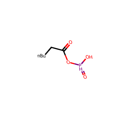 CCCCCC(=O)O[PH](=O)O